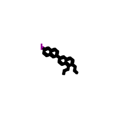 CCCc1ccc2cc(-c3ccc4cc(I)ccc4c3)ccc2c1CCC